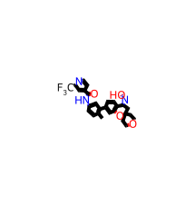 Cc1ccc(NC(=O)c2ccnc(C(F)(F)F)c2)cc1-c1ccc2c(c1)OC1(CCOCC1)C/C2=N/O